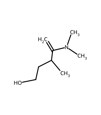 C=C(C(C)CCO)N(C)C